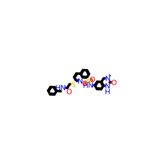 CN1Cc2cc(NS(=O)(=O)c3cccc4ccc(SCC(=O)NCc5ccccc5)nc34)ccc2NC1=O